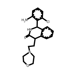 Nc1cccc(Cl)c1C1NC(=S)C(CCN2CCOCC2)c2ccccc21